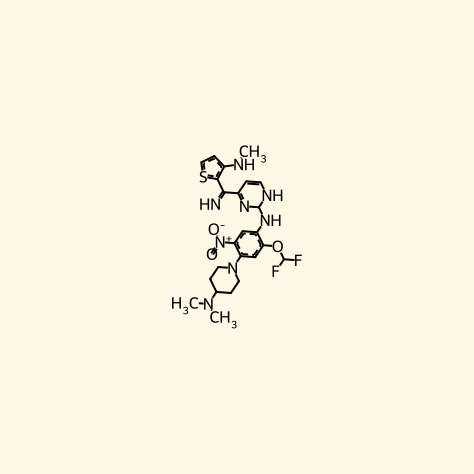 CNc1ccsc1C(=N)C1=NC(Nc2cc([N+](=O)[O-])c(N3CCC(N(C)C)CC3)cc2OC(F)F)NC=C1